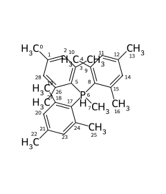 Cc1cc(C)c([PH](C)(c2c(C)cc(C)cc2C)c2c(C)cc(C)cc2C)c(C)c1